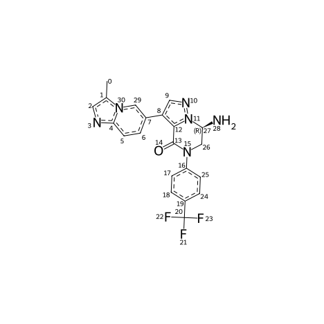 Cc1cnc2ccc(-c3cnn4c3C(=O)N(c3ccc(C(F)(F)F)cc3)C[C@@H]4N)cn12